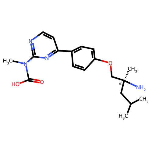 CC(C)C[C@](C)(N)COc1ccc(-c2ccnc(N(C)C(=O)O)n2)cc1